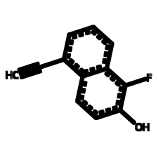 C#Cc1cccc2c(F)c(O)ccc12